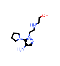 Nc1cnn(CCNCCO)c1N1CCCC1